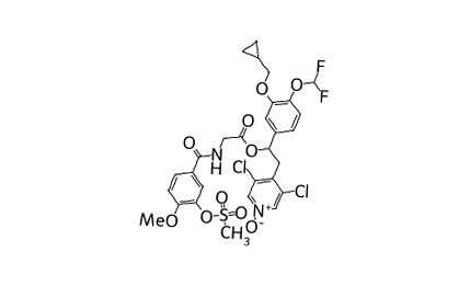 COc1ccc(C(=O)NCC(=O)OC(Cc2c(Cl)c[n+]([O-])cc2Cl)c2ccc(OC(F)F)c(OCC3CC3)c2)cc1OS(C)(=O)=O